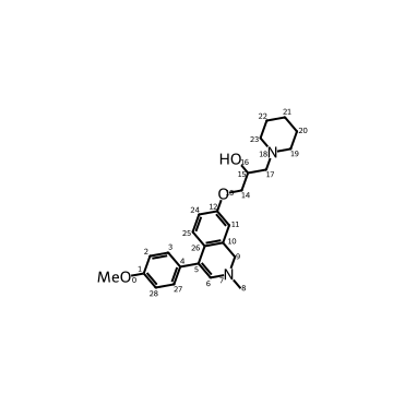 COc1ccc(C2=CN(C)Cc3cc(OCC(O)CN4CCCCC4)ccc32)cc1